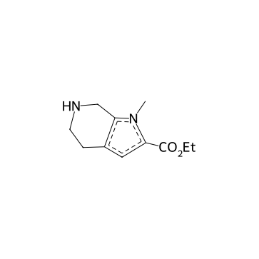 CCOC(=O)c1cc2c(n1C)CNCC2